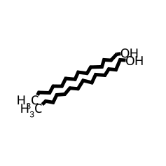 CCCCCCCCCCCCCCO.CCCCCCCCCCCCCCO